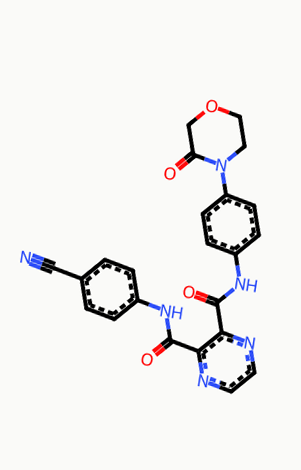 N#Cc1ccc(NC(=O)c2nccnc2C(=O)Nc2ccc(N3CCOCC3=O)cc2)cc1